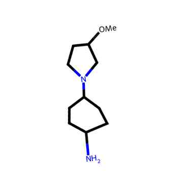 COC1CCN(C2CCC(N)CC2)C1